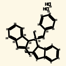 CC1=Cc2ccccc2[CH]1[Zr]([CH3])(=[CH]c1ccccc1)[CH]1C(C)=Cc2ccccc21.Cl.Cl